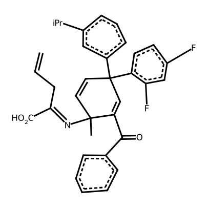 C=CCC(=NC1(C)C=CC(c2cccc(C(C)C)c2)(c2ccc(F)cc2F)C=C1C(=O)c1ccccc1)C(=O)O